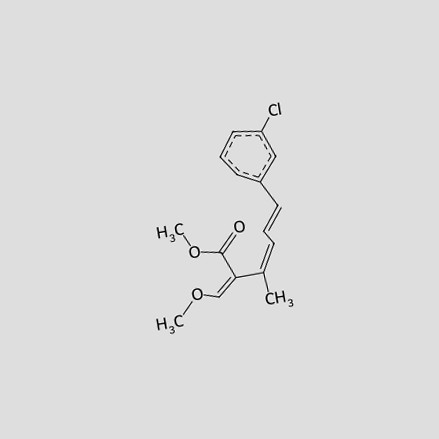 COC=C(C(=O)OC)C(C)=CC=Cc1cccc(Cl)c1